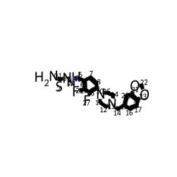 NC(=S)N/N=C/c1ccc(N2CCN(Cc3ccc4c(c3)OCO4)CC2)c(F)c1F